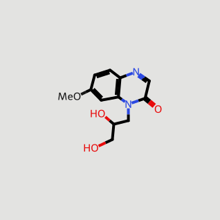 COc1ccc2ncc(=O)n(CC(O)CO)c2c1